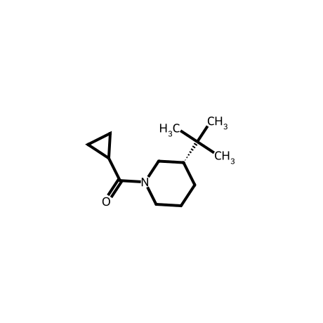 CC(C)(C)[C@@H]1CCCN(C(=O)C2CC2)C1